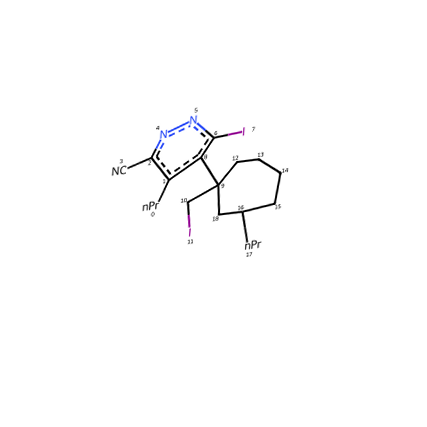 CCCc1c(C#N)nnc(I)c1C1(CI)CCCCC(CCC)C1